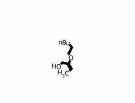 CC=C(CO)OCCCCCC